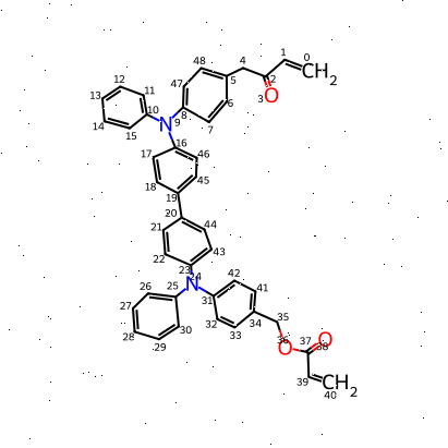 C=CC(=O)Cc1ccc(N(c2ccccc2)c2ccc(-c3ccc(N(c4ccccc4)c4ccc(COC(=O)C=C)cc4)cc3)cc2)cc1